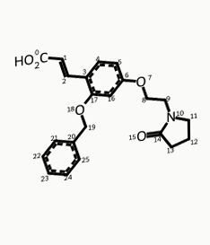 O=C(O)C=Cc1ccc(OCCN2CCCC2=O)cc1OCc1ccccc1